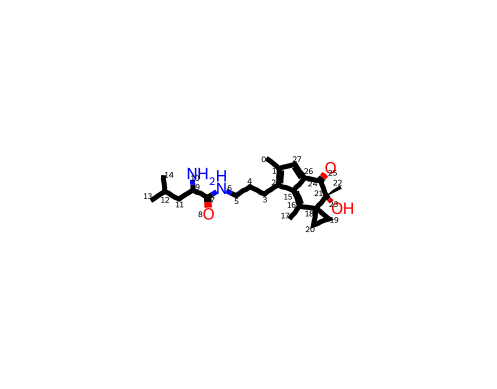 CC1=C(CCCNC(=O)C(N)CC(C)C)C2=C(C)C3(CC3)[C@@](C)(O)C(=O)C2=C1